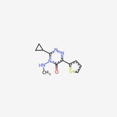 CNn1c(C2CC2)nnc(-c2cccs2)c1=O